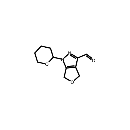 O=Cc1nn(C2CCCCO2)c2c1COC2